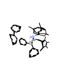 CC1=C(C)C(C)[C]([Hf]([NH]C23CC4(C)CC(C)(CC(C)(C4)C2)C3)[GeH]([c]2ccccc2)[c]2ccccc2)=C1C.c1ccc(-c2ccccc2)cc1